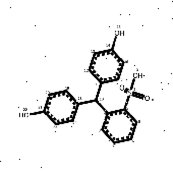 O=S(=O)(O)c1ccccc1C(c1ccc(O)cc1)c1ccc(O)cc1